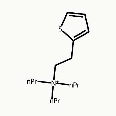 CCC[N+](CCC)(CCC)CCc1cccs1